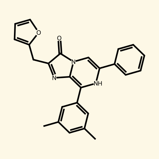 Cc1cc(C)cc(-c2[nH]c(-c3ccccc3)cn3c(=O)c(Cc4ccco4)nc2-3)c1